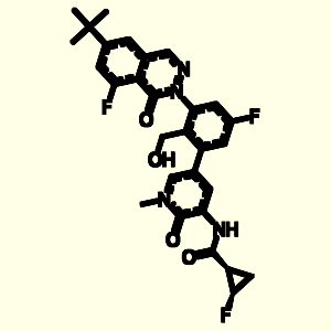 Cn1cc(-c2cc(F)cc(-n3ncc4cc(C(C)(C)C)cc(F)c4c3=O)c2CO)cc(NC(=O)[C@H]2C[C@H]2F)c1=O